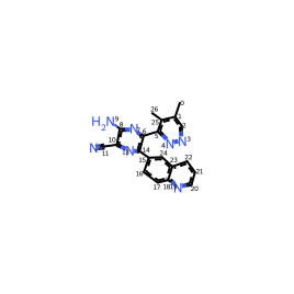 Cc1cnnc(-c2nc(N)c(C#N)nc2-c2ccc3ncccc3c2)c1C